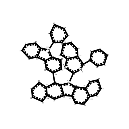 c1ccc(-c2nc(-n3c4c(-c5ccc6c(c5)c5ccccc5n6-c5ccccc5)c5ccccc5cc4c4ccc5ccccc5c43)nc3ccccc23)cc1